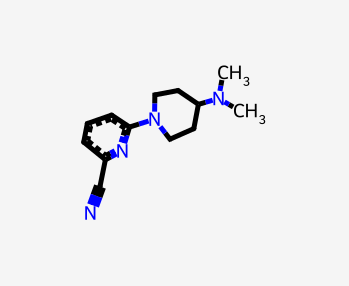 CN(C)C1CCN(c2cccc(C#N)n2)CC1